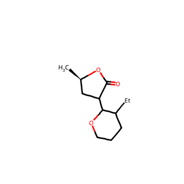 CCC1CCCOC1C1C[C@@H](C)OC1=O